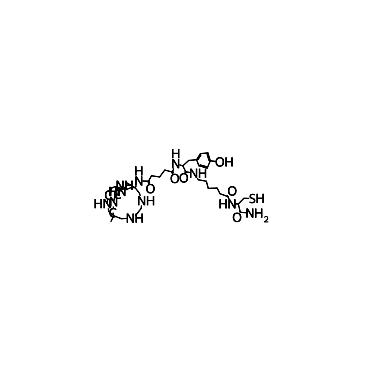 CC12CNCCNCC(NC(=O)CCCC(=O)NC(Cc3ccc(O)cc3)C(=O)NCCCCCC(=O)NC(CS)C(N)=O)(CNCCNC1)CNCCNC2